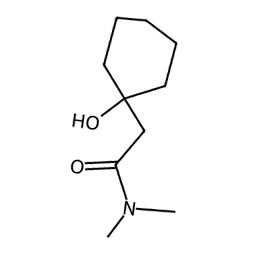 CN(C)C(=O)CC1(O)CCCCC1